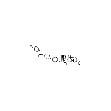 CCC1(C(=O)NCc2ccc(N3CCC(C(=O)Cc4ccc(F)cc4)CC3)cc2)CN2C=C(Cl)C=CC2=N1